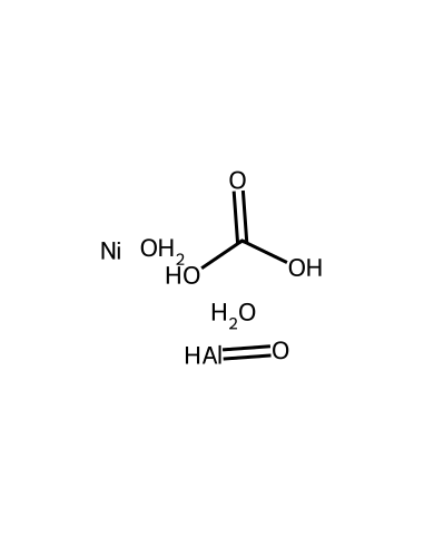 O.O.O=C(O)O.[Ni].[O]=[AlH]